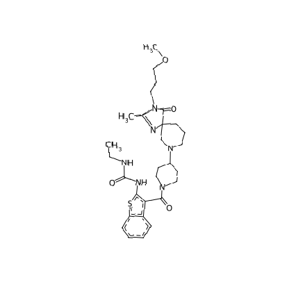 CCNC(=O)Nc1sc2ccccc2c1C(=O)N1CCC(N2CCCC3(C2)N=C(C)N(CCCOC)C3=O)CC1